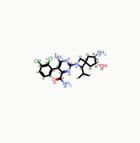 CC(C)C1N(c2nc(N)c(-c3cccc(Cl)c3Cl)c(C(N)=O)n2)CC12C[C@@H](N)[C@H](O)C2